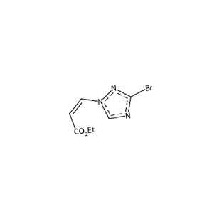 CCOC(=O)/C=C\n1cnc(Br)n1